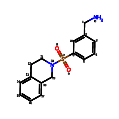 NCc1cccc(S(=O)(=O)N2CCc3ccccc3C2)c1